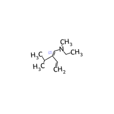 C=C/C(=C\N(C)CC)C(C)C